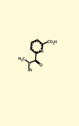 CC(C)N(C)C(=O)c1cccc(C(=O)O)n1